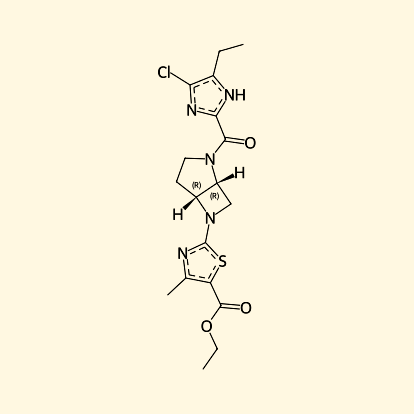 CCOC(=O)c1sc(N2C[C@@H]3[C@H]2CCN3C(=O)c2nc(Cl)c(CC)[nH]2)nc1C